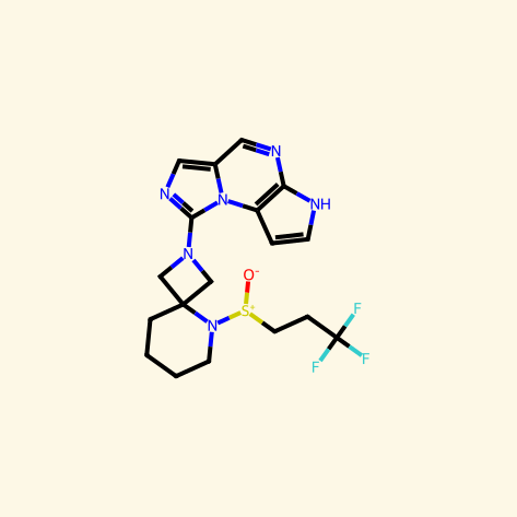 [O-][S+](CCC(F)(F)F)N1CCCCC12CN(c1ncc3cnc4[nH]ccc4n13)C2